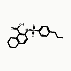 CCCc1ccc(S(=O)(=O)Nc2ccc3c(c2C(=O)O)CCCC3)cc1